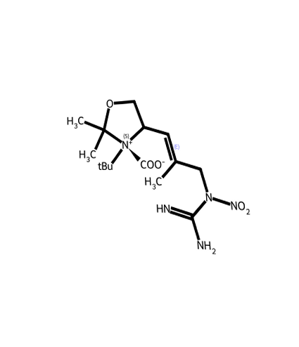 C/C(=C\C1COC(C)(C)[N@@+]1(C(=O)[O-])C(C)(C)C)CN(C(=N)N)[N+](=O)[O-]